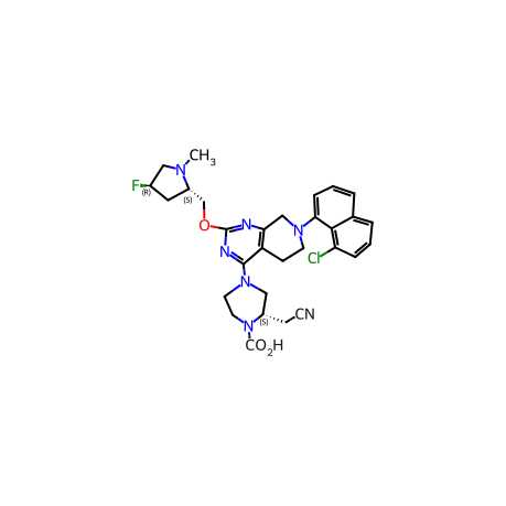 CN1C[C@H](F)C[C@H]1COc1nc2c(c(N3CCN(C(=O)O)[C@@H](CC#N)C3)n1)CCN(c1cccc3cccc(Cl)c13)C2